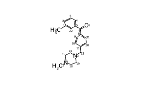 Cc1cccc(C(=O)c2ccc(CN3CCN(C)CC3)cc2)c1